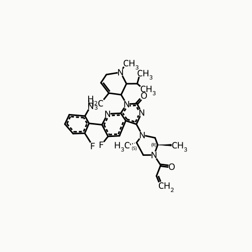 C=CC(=O)N1C[C@H](C)N(c2nc(=O)n(C3C(C)=CCN(C)C3C(C)C)c3nc(-c4c(N)cccc4F)c(F)cc23)C[C@H]1C